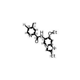 CCOc1cc2nc(CC)cn2cc1NC(=O)c1cc(C)c(C)cn1